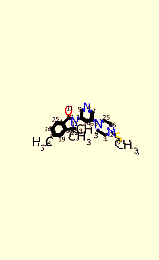 CSN1CCN(c2cncc(N3C(=O)c4ccc(C)cc4C3(C)C)c2)CC1